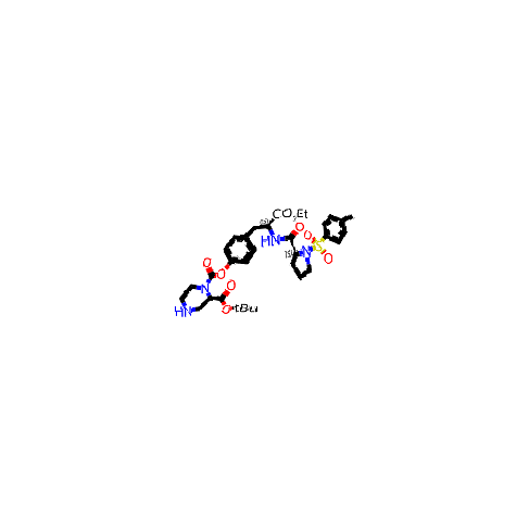 CCOC(=O)[C@H](Cc1ccc(OC(=O)N2CCNCC2C(=O)OC(C)(C)C)cc1)NC(=O)[C@@H]1CCCN1S(=O)(=O)c1ccc(C)cc1